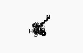 N#CCCCCC(=O)N[C@@](CC(=O)O)(C(=O)N[C@@H](Cc1ccccc1)C(=O)O)c1ncccn1